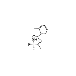 Cc1ccccc1C(=O)OC(C)C(F)(F)S